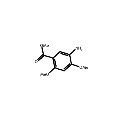 COC(=O)c1cc(N)c(OC)cc1OC